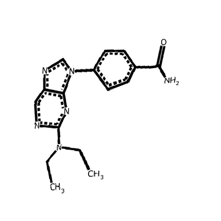 CCN(CC)c1ncc2ncn(-c3ccc(C(N)=O)cc3)c2n1